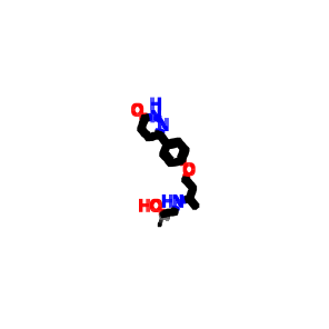 CC(CCOc1ccc(C2=NNC(=O)CC2)cc1)NC[C@H](C)O